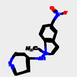 C[N+]1(Nc2ccncc2)C=Cc2cc([N+](=O)[O-])ccc21